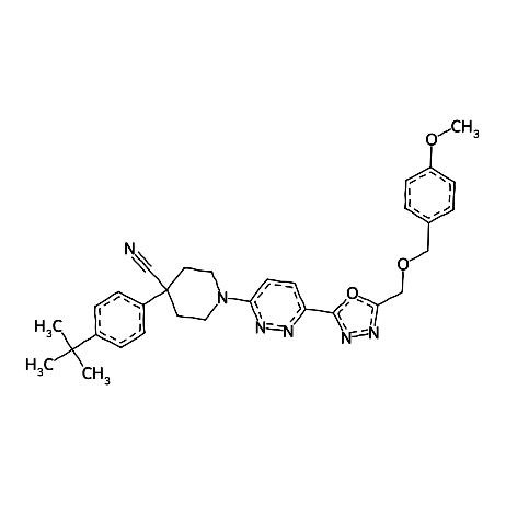 COc1ccc(COCc2nnc(-c3ccc(N4CCC(C#N)(c5ccc(C(C)(C)C)cc5)CC4)nn3)o2)cc1